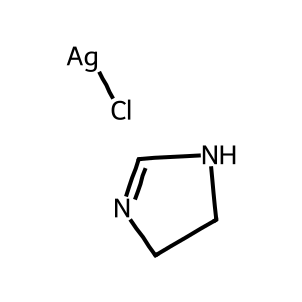 C1=NCCN1.[Cl][Ag]